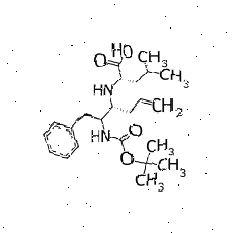 C=CC[C@@H](N[C@@H](CC(C)C)C(=O)O)[C@H](Cc1ccccc1)NC(=O)OC(C)(C)C